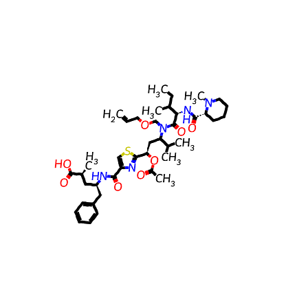 C=CCOCN(C(=O)[C@@H](NC(=O)[C@H]1CCCCN1C)C(C)CC)C(C[C@@H](OC(C)=O)c1nc(C(=O)N[C@@H](Cc2ccccc2)C[C@H](C)C(=O)O)cs1)C(C)C